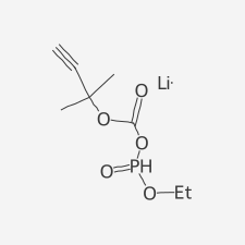 C#CC(C)(C)OC(=O)O[PH](=O)OCC.[Li]